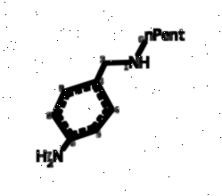 CCCCCNCc1ccc(N)cc1